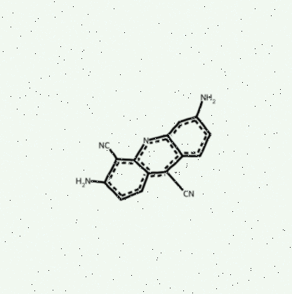 N#Cc1c2ccc(N)cc2nc2c(C#N)c(N)ccc12